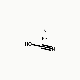 N#CO.[Fe].[Ni]